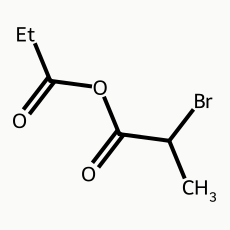 CCC(=O)OC(=O)C(C)Br